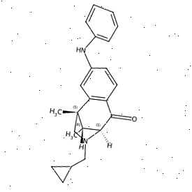 C[C@H]1[C@H]2C(=O)c3ccc(Nc4ccccc4)cc3[C@@]1(C)CN2CC1CC1